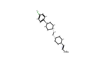 CCCC/C=C/[C@H]1CC[C@H](CC[C@H]2CC[C@H](c3ccc(F)cc3)CC2)CC1